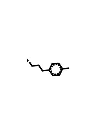 Cc1ccc(CCCF)cc1